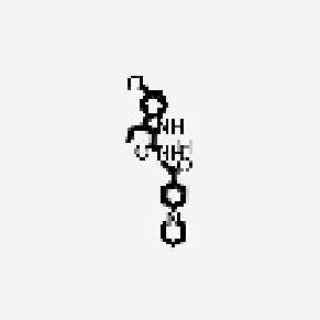 CCc1c(C(=O)NC[C@H](O)c2ccc(N3CCCCC3)cc2)[nH]c2ccc(Cl)cc12